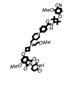 COCCN(CC1CCN(c2ccc(C(=O)NC3C(C)(C)C(Oc4ccc(C#N)c(OC)c4)C3(C)C)cc2)CC1)C1CC(Oc2cc(OC)c3c(c2)C(=O)N([C@@H]2CCC(=O)NC2=O)C3=O)C1